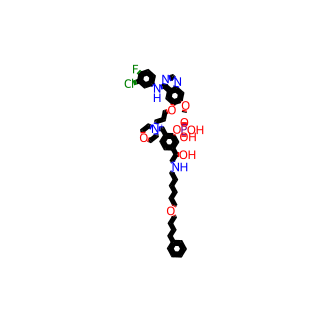 COc1cc2ncnc(Nc3ccc(F)c(Cl)c3)c2cc1OCCC[N+]1(Cc2ccc(C(O)CNCCCCCCOCCCCc3ccccc3)cc2OP(=O)(O)O)CCOCC1